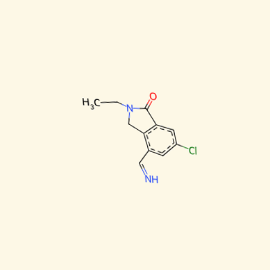 CCN1Cc2c(C=N)cc(Cl)cc2C1=O